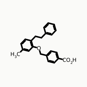 Cc1ccc(CCc2ccccc2)c(OCc2ccc(C(=O)O)cc2)c1